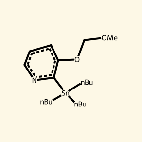 CCC[CH2][Sn]([CH2]CCC)([CH2]CCC)[c]1ncccc1OCOC